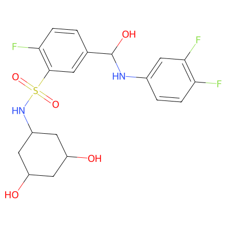 O=S(=O)(NC1CC(O)CC(O)C1)c1cc(C(O)Nc2ccc(F)c(F)c2)ccc1F